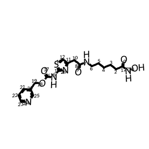 O=C(CCCCCNC(=O)Cc1csc(NC(=O)OCc2cccnc2)n1)NO